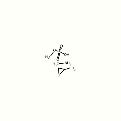 CC1CO1.CN.COS(=O)(=O)O